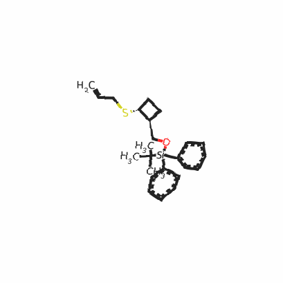 C=CCS[C@@H]1CC[C@H]1CO[Si](c1ccccc1)(c1ccccc1)C(C)(C)C